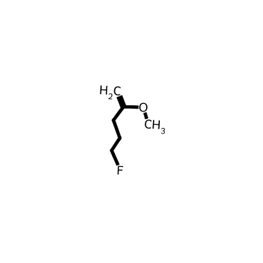 C=C(CCCF)OC